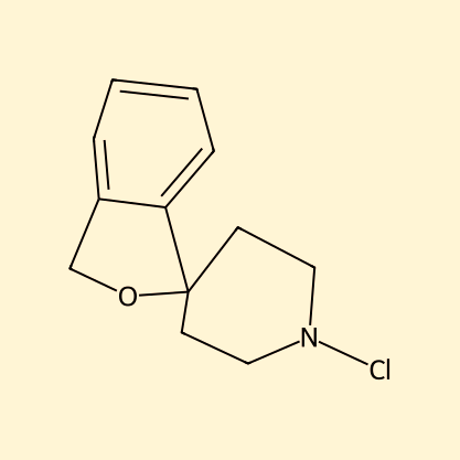 ClN1CCC2(CC1)OCc1ccccc12